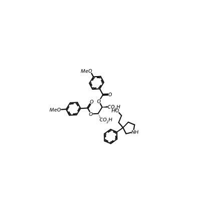 COc1ccc(C(=O)O[C@@H](C(=O)O)[C@@H](OC(=O)c2ccc(OC)cc2)C(=O)O)cc1.OCCC1(c2ccccc2)CCNC1